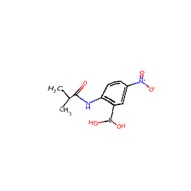 CC(C)C(=O)Nc1ccc([N+](=O)[O-])cc1B(O)O